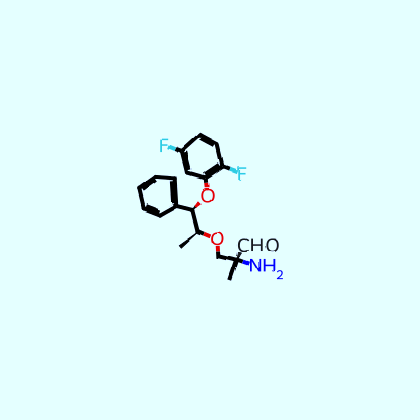 C[C@H](OC[C@@](C)(N)C=O)[C@H](Oc1cc(F)ccc1F)c1ccccc1